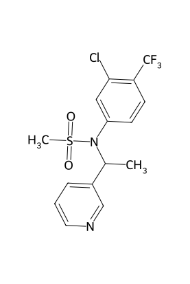 CC(c1cccnc1)N(c1ccc(C(F)(F)F)c(Cl)c1)S(C)(=O)=O